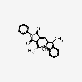 CC(C)=C1C(=O)N(c2ccccc2)C(=O)/C1=C/c1[nH]c2ccccc2c1C